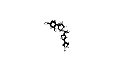 O=C(C1C=C(c2cn[nH]c2)SC1)N1CCC(O)(c2ccc(Cl)cc2Cl)CC1